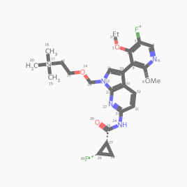 CCOc1c(F)cnc(OC)c1-c1cn(COCC[Si](C)(C)C)c2nc(NC(=O)[C@@H]3C[C@@H]3F)ccc12